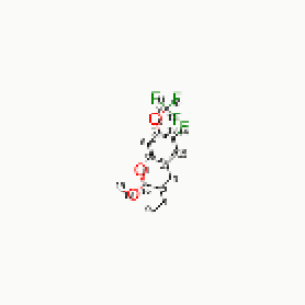 CCC(Cc1ccc(OC(F)(F)F)c(F)c1)C(=O)OC